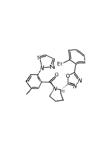 CCc1ccccc1-c1nnc([C@@H]2CCCN2C(=O)c2cc(C)ccc2-n2nccn2)o1